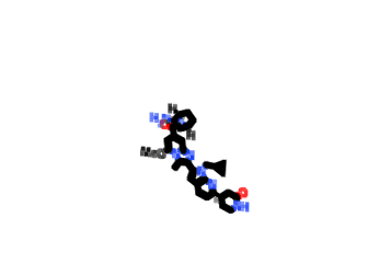 COc1cc(C(=O)N2[C@H]3CC[C@@H]2[C@H](N)C3)cc2nc(-c3cc4ccc([C@@H]5CCNC(=O)C5)nc4n3CC3CC3)c(C)n12